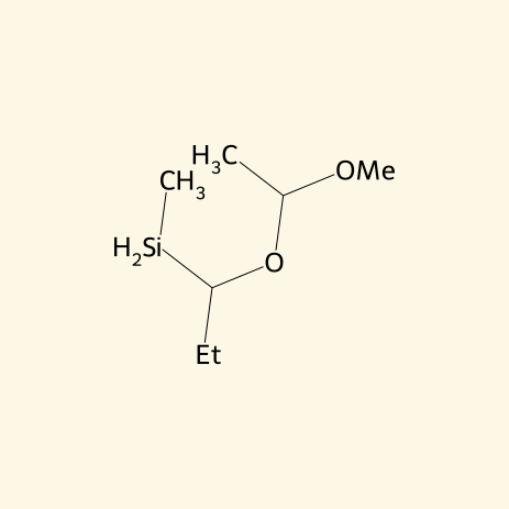 CCC(OC(C)OC)[SiH2]C